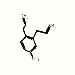 Bc1ccc(CC=C)c(CC=C)c1